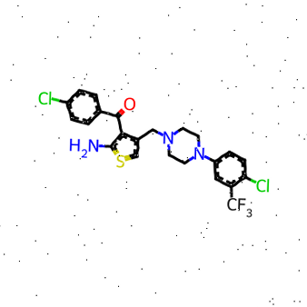 Nc1scc(CN2CCN(c3ccc(Cl)c(C(F)(F)F)c3)CC2)c1C(=O)c1ccc(Cl)cc1